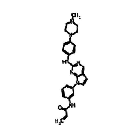 C=CC(=O)Nc1cccc(-n2ccc3cnc(Nc4ccc(N5CCN(C)CC5)cc4)nc32)c1